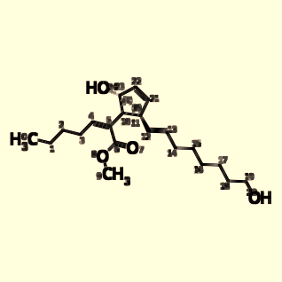 CCCCC=C(C(=O)OC)C1[C@H](C=CCCCCCCO)C=C[C@H]1O